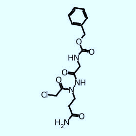 NC(=O)CCN(NC(=O)CNC(=O)OCc1ccccc1)C(=O)CCl